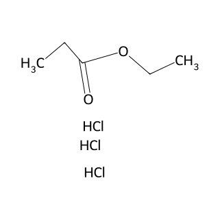 CCOC(=O)CC.Cl.Cl.Cl